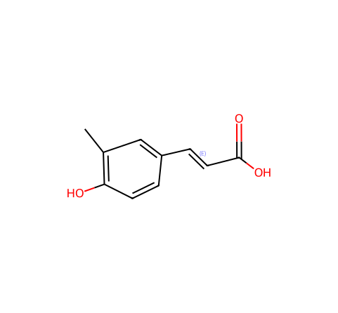 Cc1cc(/C=C/C(=O)O)ccc1O